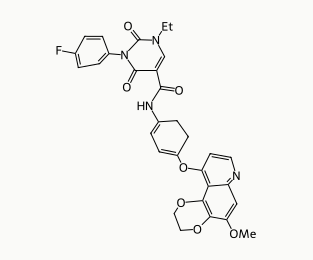 CCn1cc(C(=O)NC2=CC=C(Oc3ccnc4cc(OC)c5c(c34)OCCO5)CC2)c(=O)n(-c2ccc(F)cc2)c1=O